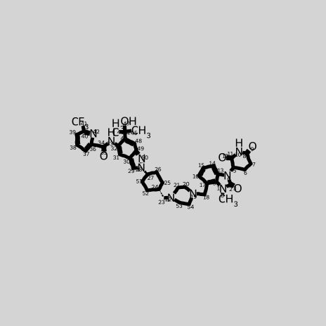 Cn1c(=O)n(C2CCC(=O)NC2=O)c2cccc(CN3CCN(C[C@H]4CC[C@H](n5cc6cc(NC(=O)c7cccc(C(F)(F)F)n7)c(C(C)(C)O)cc6n5)CC4)CC3)c21